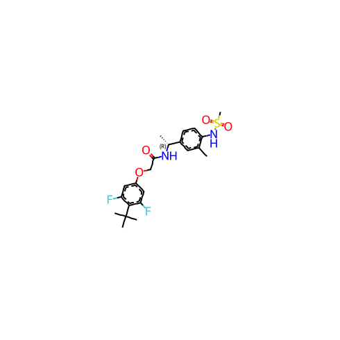 Cc1cc([C@@H](C)NC(=O)COc2cc(F)c(C(C)(C)C)c(F)c2)ccc1NS(C)(=O)=O